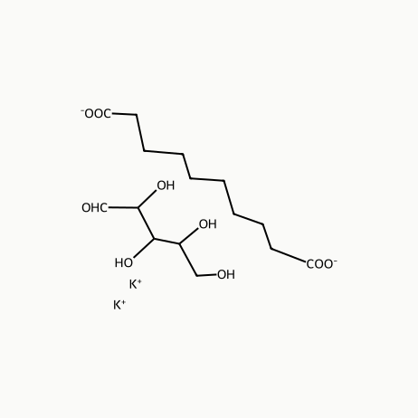 O=C([O-])CCCCCCCCC(=O)[O-].O=CC(O)C(O)C(O)CO.[K+].[K+]